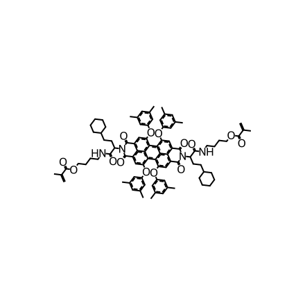 C=C(C)C(=O)OCCCCNC(=O)C(CCC1CCCCC1)N1C(=O)c2cc(Oc3cc(C)cc(C)c3)c3c4c(Oc5cc(C)cc(C)c5)cc5c6c(cc(Oc7cc(C)cc(C)c7)c(c7c(Oc8cc(C)cc(C)c8)cc(c2c37)C1=O)c64)C(=O)N(C(CCC1CCCCC1)C(=O)NCCCCOC(=O)C(=C)C)C5=O